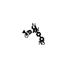 O=C(C1CC1)N1CC[C@H](Cn2c(-c3ccc(-c4ccc5scnc5c4)cc3)nc3cnccc32)C1